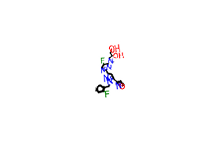 CN(C[C@@H](O)CO)c1nc(-c2cc(-c3ccon3)n(Cc3ccccc3F)n2)ncc1F